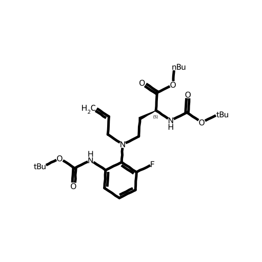 C=CCN(CC[C@H](NC(=O)OC(C)(C)C)C(=O)OCCCC)c1c(F)cccc1NC(=O)OC(C)(C)C